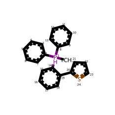 C[PH](c1ccccc1)(c1ccccc1)c1ccccc1-c1cccs1